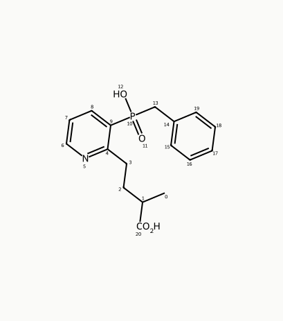 CC(CCc1ncccc1P(=O)(O)Cc1ccccc1)C(=O)O